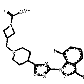 COC(=O)N1CC(CN2CCC(c3nc(-n4nc(C(C)C)c5cccc(F)c54)no3)CC2)C1